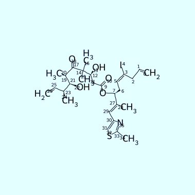 C=CC/C(I)=C\C[C@H](OC(=O)C[C@H](O)C(C)(C)C(=O)[C@H](C)[C@@H](O)[C@@H](C)C=C)/C(C)=C/c1csc(C)n1